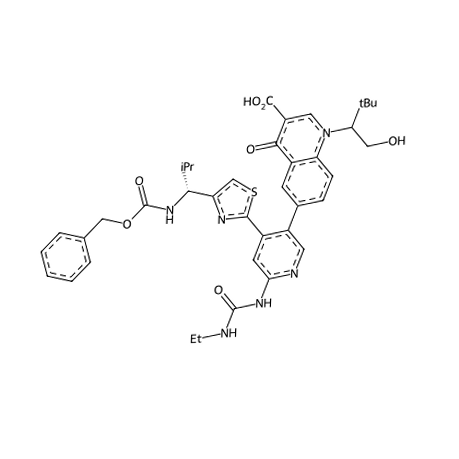 CCNC(=O)Nc1cc(-c2nc([C@H](NC(=O)OCc3ccccc3)C(C)C)cs2)c(-c2ccc3c(c2)c(=O)c(C(=O)O)cn3C(CO)C(C)(C)C)cn1